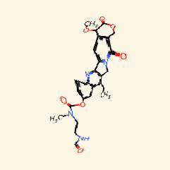 CCc1c2c(nc3ccc(OC(=O)N(C)CCNC=O)cc13)-c1cc3c(c(=O)n1C2)COC(=O)C3OC